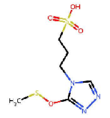 CSOc1nncn1CCCS(=O)(=O)O